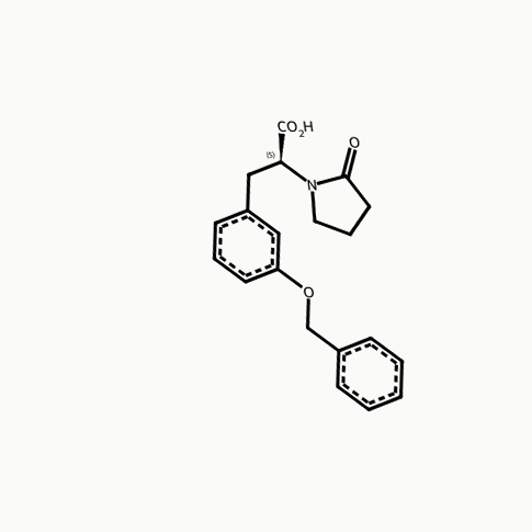 O=C(O)[C@H](Cc1cccc(OCc2ccccc2)c1)N1CCCC1=O